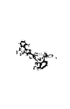 CC(C)Sc1cccc(Cl)c1S(=O)(=O)NC(=O)c1cn(C)c(-c2c(F)cccc2F)n1